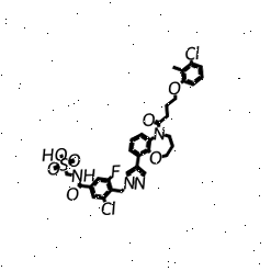 Cc1c(Cl)cccc1OCCCC(=O)N1CCCOc2c(-c3cnn(Cc4c(F)cc(C(=O)NCS(=O)(=O)O)cc4Cl)c3)cccc21